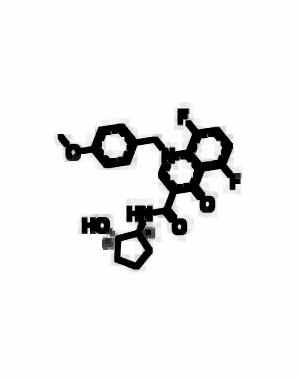 COc1ccc(Cn2cc(C(=O)N[C@H]3CCC[C@@H]3O)c(=O)c3c(F)ccc(F)c32)cc1